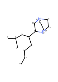 CCCCC(CC(C)C)C1CN2CCN1CC2